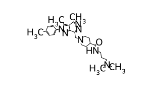 Cc1ccc(-n2nc3c(CN4CCC(C(=O)NCCCN(C)C)CC4)nnc(C)c3c2C)cc1